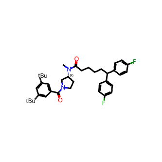 CN(C(=O)CCCCC(c1ccc(F)cc1)c1ccc(F)cc1)[C@@H]1CCN(C(=O)c2cc(C(C)(C)C)cc(C(C)(C)C)c2)C1